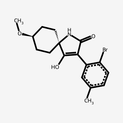 CO[C@H]1CC[C@]2(CC1)NC(=O)C(c1cc(C)ccc1Br)=C2O